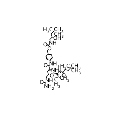 CC(C)[C@H](NC(=O)CCC(C)(C)C)C(=O)N[C@@H](CCCNC(N)=O)C(=O)Nc1ccc(COC(=O)NCC(O)CC(C)(C)C)cc1